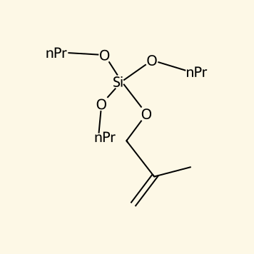 C=C(C)CO[Si](OCCC)(OCCC)OCCC